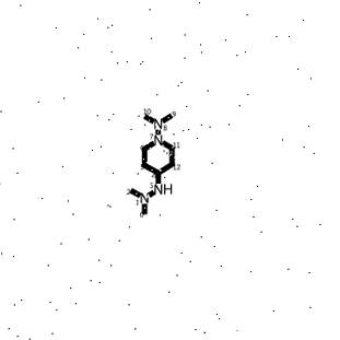 CN(C)NC1CCN(N(C)C)CC1